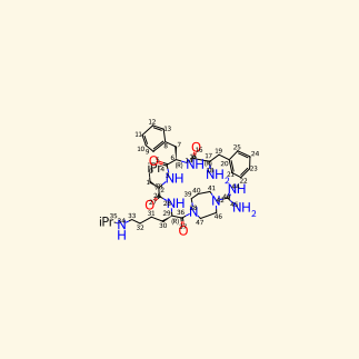 CC(C)C[C@@H](NC(=O)[C@@H](Cc1ccccc1)NC(=O)[C@H](N)Cc1ccccc1)C(=O)N[C@H](CCCCNC(C)C)C(=O)N1CCCN(C(=N)N)CC1